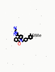 COc1ccc(C2CCC(CN(C(=O)C3CCCCC3)c3cccc(-c4cnn(CCN(C)C)c4)c3)CC2)cc1C